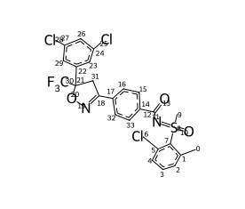 Cc1cccc(Cl)c1S(C)(=O)=NC(=O)c1ccc(C2=NOC(c3cc(Cl)cc(Cl)c3)(C(F)(F)F)C2)cc1